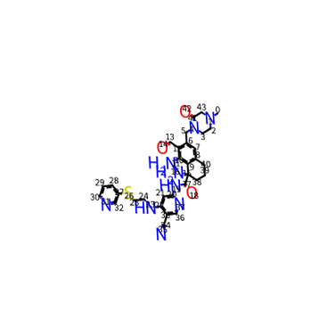 CN1CCN(Cc2cc3c(c(N)c2C=O)C(N)(C(=O)Nc2cc(NCCSc4cccnc4)c(C#N)cn2)CCC3)C(=O)C1